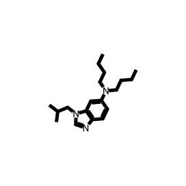 CCCCN(CCCC)c1ccc2ncn(CC(C)C)c2c1